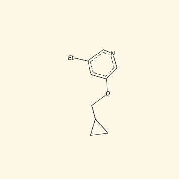 CCc1cncc(OCC2CC2)c1